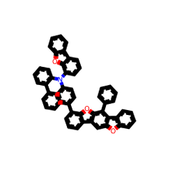 c1ccc(-c2ccccc2N(c2ccc(-c3cccc4c3oc3c(-c5ccccc5)c5c(cc34)oc3ccccc35)cc2)c2cccc3c2oc2ccccc23)cc1